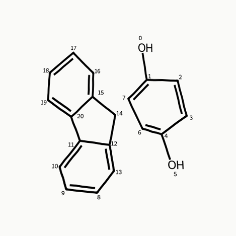 Oc1ccc(O)cc1.c1ccc2c(c1)Cc1ccccc1-2